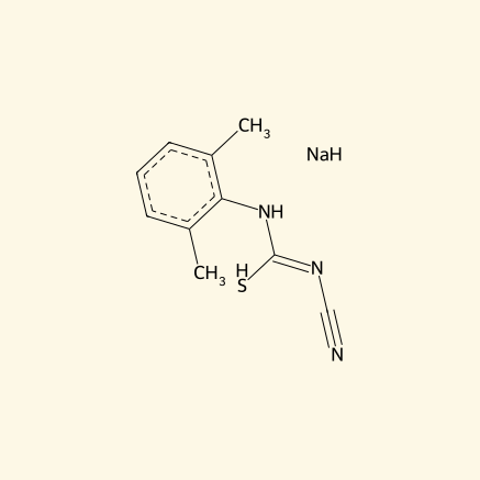 Cc1cccc(C)c1NC(S)=NC#N.[NaH]